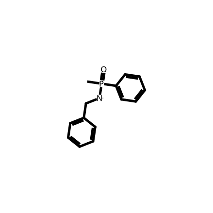 CP(=O)([N]Cc1ccccc1)c1ccccc1